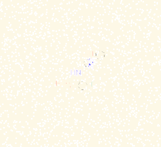 O=C(O)CC(NC(=O)c1cc(O)n(-c2ccccc2)n1)c1ccc(F)c(F)c1